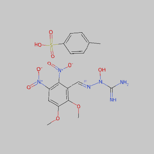 COc1cc([N+](=O)[O-])c([N+](=O)[O-])c(/C=N/N(O)C(=N)N)c1OC.Cc1ccc(S(=O)(=O)O)cc1